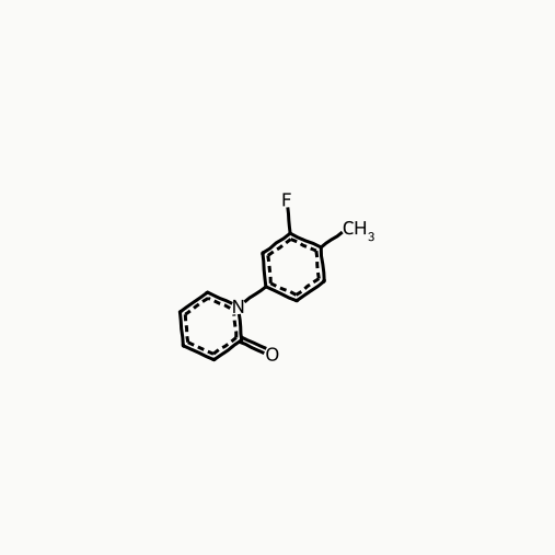 Cc1ccc(-n2ccccc2=O)cc1F